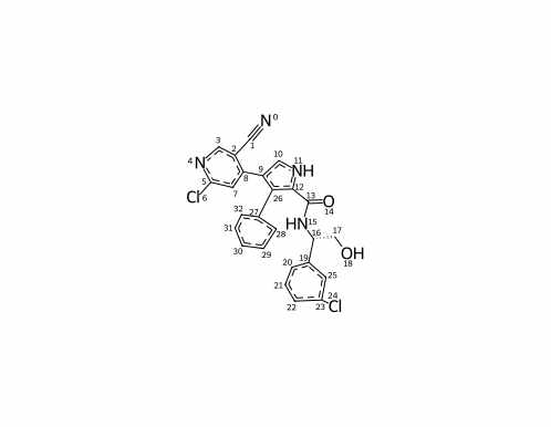 N#Cc1cnc(Cl)cc1-c1c[nH]c(C(=O)N[C@H](CO)c2cccc(Cl)c2)c1-c1ccccc1